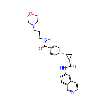 O=C(NCCCN1CCOCC1)c1ccc([C@@H]2C[C@H]2C(=O)Nc2ccc3cnccc3c2)cc1